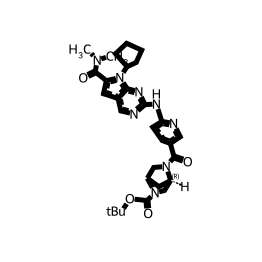 CN(C)C(=O)c1cc2cnc(Nc3ccc(C(=O)N4CC5C[C@@H]4CN5C(=O)OC(C)(C)C)cn3)nc2n1C1CCCC1